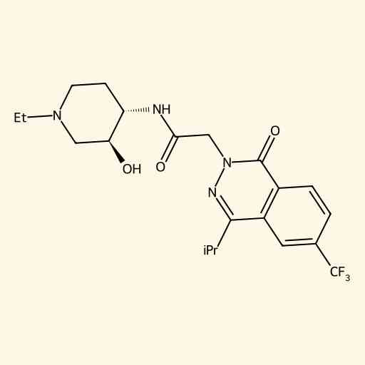 CCN1CC[C@H](NC(=O)Cn2nc(C(C)C)c3cc(C(F)(F)F)ccc3c2=O)[C@@H](O)C1